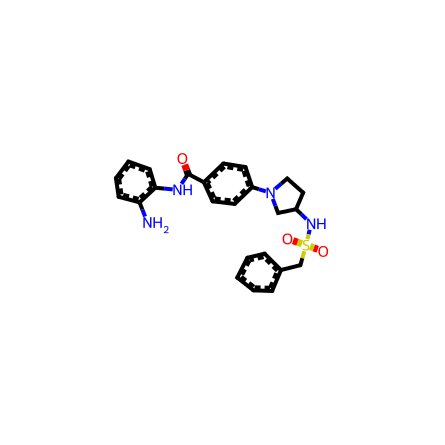 Nc1ccccc1NC(=O)c1ccc(N2CCC(NS(=O)(=O)Cc3ccccc3)C2)cc1